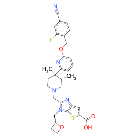 C[C@@H]1CN(Cc2nc3cc(C(=O)O)sc3n2C[C@@H]2CCO2)CC[C@@]1(C)c1cccc(OCc2ccc(C#N)cc2F)n1